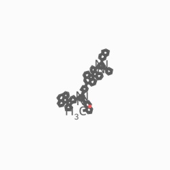 CC1C=CC=C2C=CC(c3nc(-c4ccc(-c5cc6cccc7c6c6c(cccc56)C75c6ccccc6-c6c(-c7nc(-c8ccccc8)nc(-c8ccc9ccccc9c8)n7)cccc65)cc4)nc(-c4ccc5c(c4)-c4ccccc4C54c5cccc6ccc7cccc4c7c56)n3)=CC21